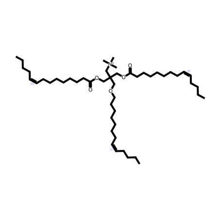 CCCC/C=C\CCCCCCCOCC(COC(=O)CCCCCCC/C=C\CCCC)(COC(=O)CCCCCCC/C=C\CCCC)C[N+](C)(C)C